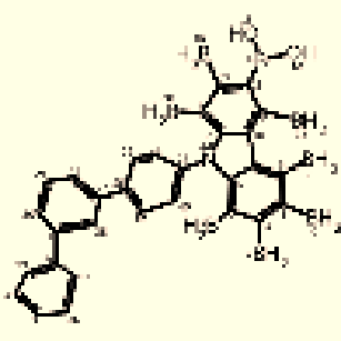 Bc1c(B)c(B)c2c(c1B)c1c(B)c(B(O)O)c(B)c(B)c1n2-c1ccc(-c2cccc(-c3ccccc3)c2)cc1